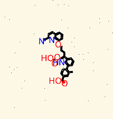 Cc1cc(C(=O)O)ccc1-c1cccc2c(CCCOc3cccc4ccc(C#N)nc34)c(OC(=O)O)[nH]c12